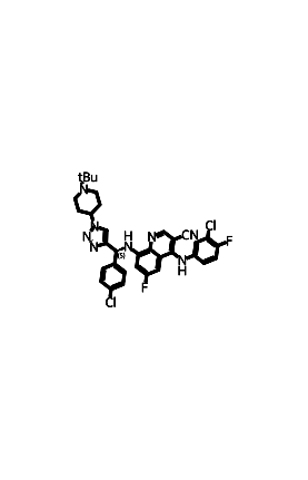 CC(C)(C)N1CCC(n2cc([C@@H](Nc3cc(F)cc4c(Nc5ccc(F)c(Cl)c5)c(C#N)cnc34)c3ccc(Cl)cc3)nn2)CC1